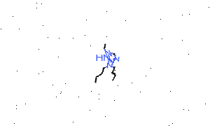 CCCCN(CCCC)N1N=CN(CC)N1